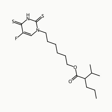 CCCC(C(=O)OCCCCCCn1cc(F)c(=S)[nH]c1=S)C(C)C